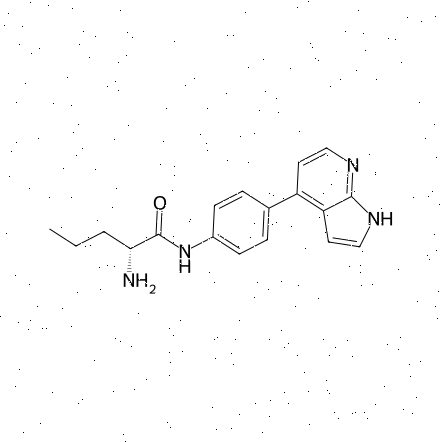 CCC[C@@H](N)C(=O)Nc1ccc(-c2ccnc3[nH]ccc23)cc1